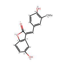 COc1cc(/C=C2\C(=O)Oc3ccc(O)cc32)ccc1O